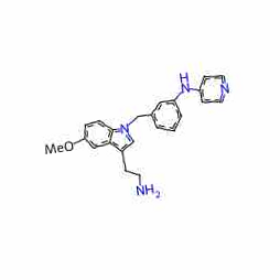 COc1ccc2c(c1)c(CCN)cn2Cc1cccc(Nc2ccncc2)c1